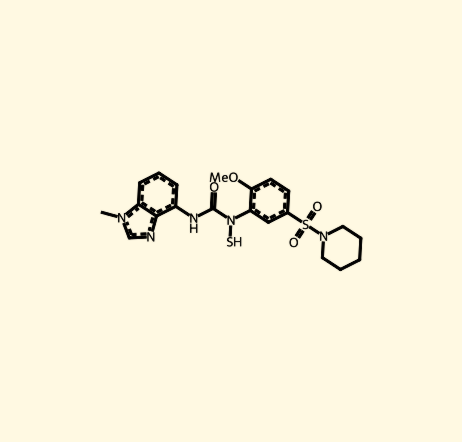 COc1ccc(S(=O)(=O)N2CCCCC2)cc1N(S)C(=O)Nc1cccc2c1ncn2C